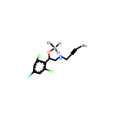 CC[Si](CC)(CC)OC(CNCC#CC(C)(C)C)c1c(Cl)cc(F)cc1Cl